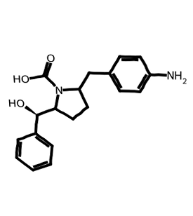 Nc1ccc(CC2CCC([C@H](O)c3ccccc3)N2C(=O)O)cc1